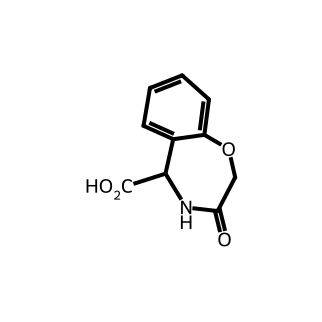 O=C1COc2ccccc2C(C(=O)O)N1